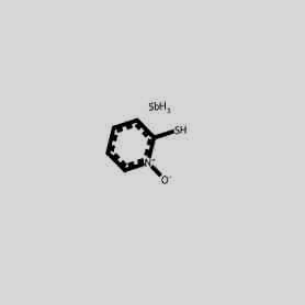 [O-][n+]1ccccc1S.[SbH3]